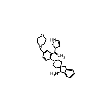 C=C(c1cc[nH]n1)c1cc(CN2CCOCC2)ccc1N1CCC2(CC1)Cc1ccccc1[C@H]2N